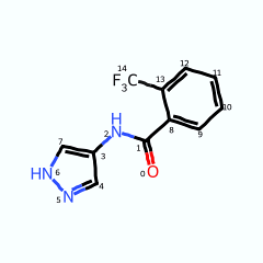 O=C(Nc1cn[nH]c1)c1ccccc1C(F)(F)F